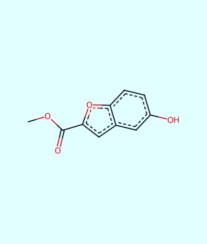 COC(=O)c1cc2cc(O)ccc2o1